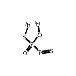 [2H]OP(=O)(P=S)S[2H]